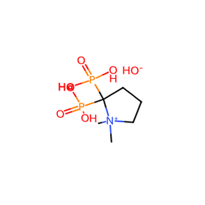 C[N+]1(C)CCCC1(P(=O)(O)O)P(=O)(O)O.[OH-]